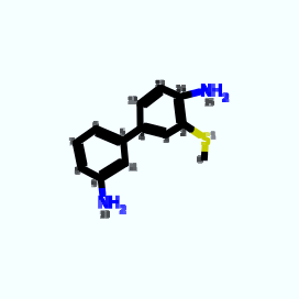 CSc1cc(-c2cccc(N)c2)ccc1N